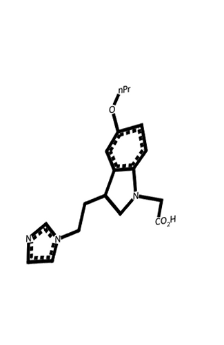 CCCOc1ccc2c(c1)C(CCn1ccnc1)CN2CC(=O)O